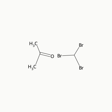 BrC(Br)Br.CC(C)=O